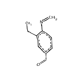 C=Nc1ccc(C=O)cc1CC